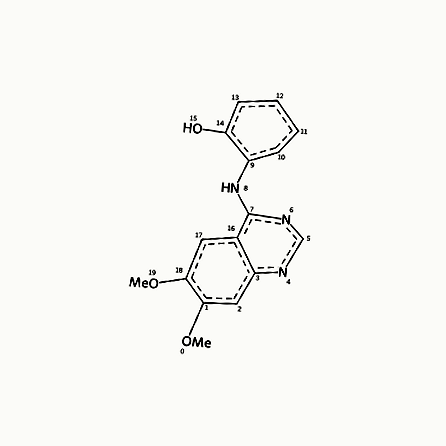 COc1cc2ncnc(Nc3ccccc3O)c2cc1OC